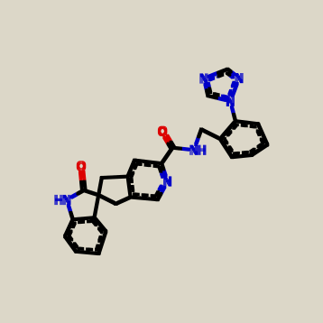 O=C(NCc1ccccc1-n1cncn1)c1cc2c(cn1)CC1(C2)C(=O)Nc2ccccc21